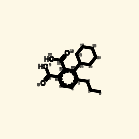 CCCc1ccc(C(=O)O)c(C(=O)O)c1C1CCCCC1